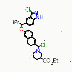 CCOC(=O)C1CCCN(C(Cl)C2=Cc3ccc(OC(c4ccc5[nH]nc(Cl)c5c4)C(C)C)cc3CC2)C1